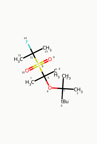 CC(C)(C)C(C)(C)OC(C)(C)S(=O)(=O)C(C)(C)F